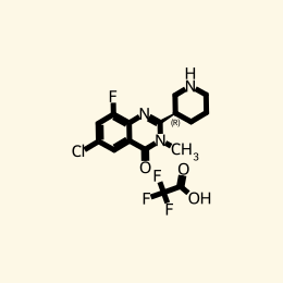 Cn1c([C@@H]2CCCNC2)nc2c(F)cc(Cl)cc2c1=O.O=C(O)C(F)(F)F